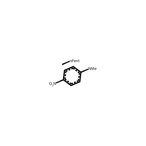 CCCCCC.CNc1ccc([N+](=O)[O-])cc1